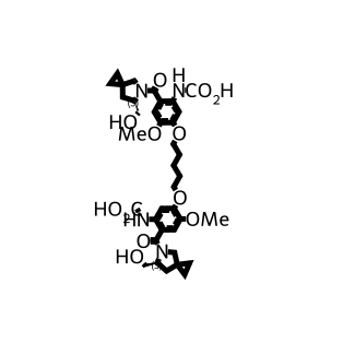 COc1cc(C(=O)N2CC3(CC3)C[C@H]2CO)c(NC(=O)O)cc1OCCCCCOc1cc(NC(=O)O)c(C(=O)N2CC3(CC3)C[C@H]2CO)cc1OC